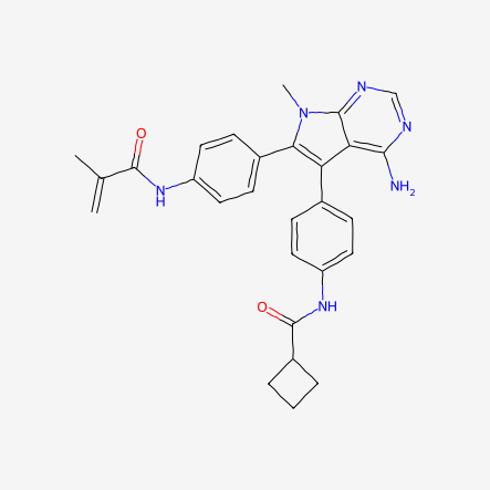 C=C(C)C(=O)Nc1ccc(-c2c(-c3ccc(NC(=O)C4CCC4)cc3)c3c(N)ncnc3n2C)cc1